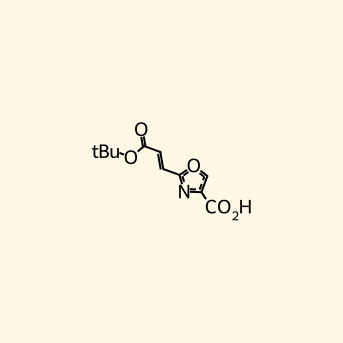 CC(C)(C)OC(=O)C=Cc1nc(C(=O)O)co1